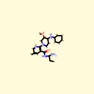 CCC(N)NC(=O)c1cc(C)cnc1N1CCC(NC2CCCCC2)C(OC)C1